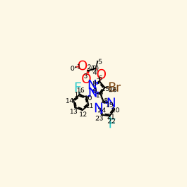 COC(=O)[C@@H](C)Oc1nn(-c2ccccc2F)c(-c2ncc(F)cn2)c1Br